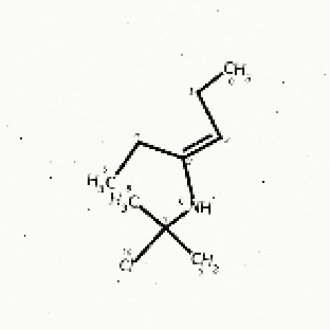 CC/C=C(\CC)NC(C)(C)Cl